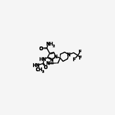 CNC(=O)Nc1nn(C2(CC#N)CCN(CC(F)(F)F)CC2)cc1C(N)=O